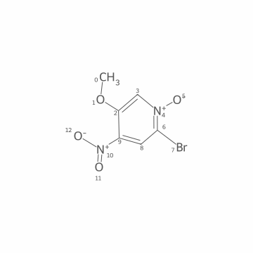 COc1c[n+]([O-])c(Br)cc1[N+](=O)[O-]